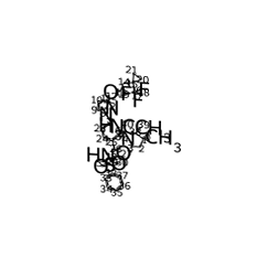 CC1CCN(c2nc(-n3ccc(OCCC4(C(F)(F)F)CC4)n3)ccc2C(=O)NS(=O)(=O)c2ccccc2)C1(C)C